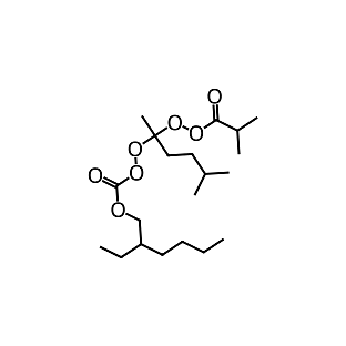 CCCCC(CC)COC(=O)OOC(C)(CCC(C)C)OOC(=O)C(C)C